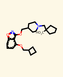 O=C(O)C1(CN2CCC(COc3noc4cccc(OCC5CCC5)c34)CC2)CCCC1